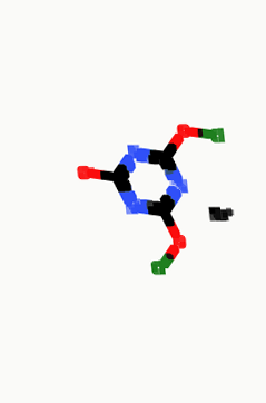 [Na+].[O-]c1nc(OCl)nc(OCl)n1